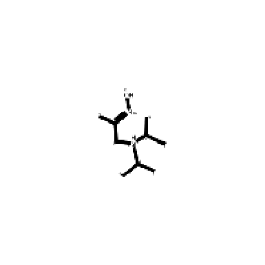 CC(C[SiH](C(C)C)C(C)C)=NO